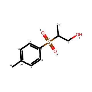 [CH2]C(CO)S(=O)(=O)c1ccc(C)cc1